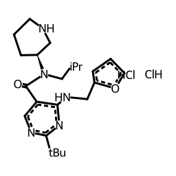 CC(C)CN(C(=O)c1cnc(C(C)(C)C)nc1NCc1ccco1)[C@H]1CCCNC1.Cl.Cl